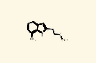 O=COCCc1cc2cccc([N+](=O)[O-])c2[nH]1